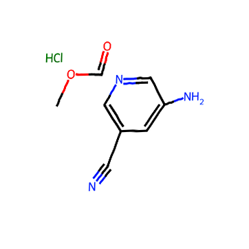 COC=O.Cl.N#Cc1cncc(N)c1